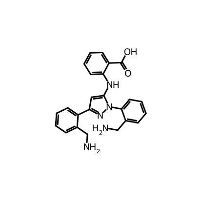 NCc1ccccc1-c1cc(Nc2ccccc2C(=O)O)n(-c2ccccc2CN)n1